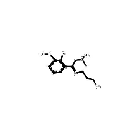 CCCC/N=C(\C[S+](C)[O-])c1cccc(OC)c1O